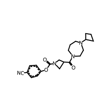 N#Cc1ccc(OC(=O)N2CC(C(=O)N3CCCN(C4CCC4)CC3)C2)cc1